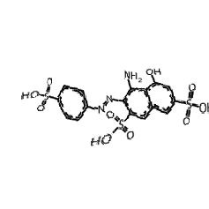 Nc1c(/N=N/c2ccc(S(=O)(=O)O)cc2)c(S(=O)(=O)O)cc2cc(S(=O)(=O)O)cc(O)c12